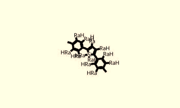 Cc1[c]([RaH])[c]([RaH])c(C2=[C]([RaH])[C]([RaH])=C(c3[c]([RaH])[c]([RaH])c(C)[c]([RaH])[c]3[RaH])[Si]2([RaH])[RaH])[c]([RaH])[c]1[RaH]